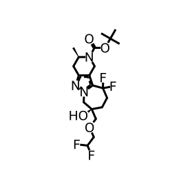 C[C@@H]1Cc2nn3c(c2CN1C(=O)OC(C)(C)C)C(F)(F)CC[C@](O)(COCC(F)F)C3